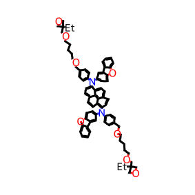 CCC1(COCCCCCOCc2ccc(N(c3ccc4oc5ccccc5c4c3)c3ccc4ccc5c(N(c6ccc(COCCCCCOCC7(CC)COC7)cc6)c6ccc7oc8ccccc8c7c6)ccc6ccc3c4c65)cc2)COC1